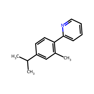 Cc1cc(C(C)C)ccc1-c1ccccn1